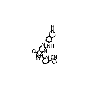 CCn1c(=O)c2cnc(Nc3ccc4c(c3)CCNC4)nc2n1-c1cccc(C2(C#N)CCC2)n1